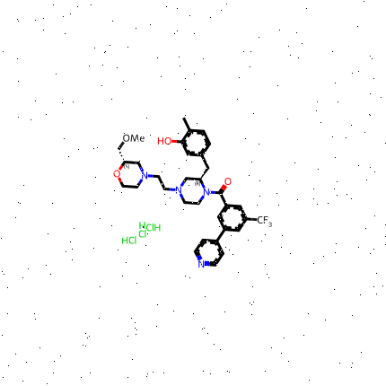 COC[C@@H]1CN(CCN2CCN(C(=O)c3cc(-c4ccncc4)cc(C(F)(F)F)c3)[C@H](Cc3ccc(C)c(O)c3)C2)CCO1.Cl.Cl.Cl